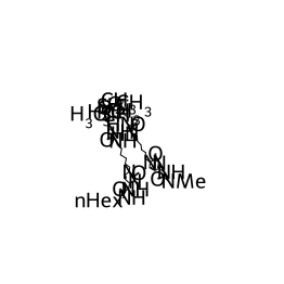 CCCCCCNC(=O)Nc1ccn(CCCCCCNC(=O)NCCC[Si](C)(C)O[Si](C)(C)O[Si](C)(C)CCCNC(=O)NCCCCCCn2ccc(NC(=O)NC)nc2=O)c(=O)n1